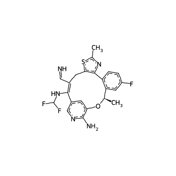 Cc1nc2c(s1)C/C(C=N)=C(/NC(F)F)c1cnc(N)c(c1)O[C@H](C)c1cc(F)ccc1-2